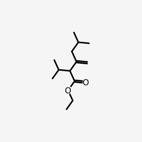 C=C(CC(C)C)C(C(=O)OCC)C(C)C